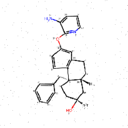 CCC[C@@]1(O)CC[C@@]2(Cc3ccccc3)c3ccc(Oc4ncccc4N)cc3CC[C@@H]2C1